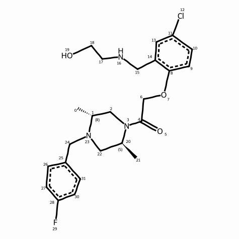 C[C@@H]1CN(C(=O)COc2ccc(Cl)cc2CNCCO)[C@@H](C)CN1Cc1ccc(F)cc1